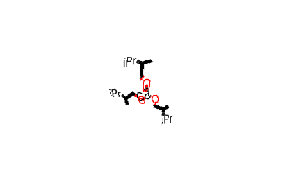 CC(C)C(C)C[O][Gd]([O]CC(C)C(C)C)[O]CC(C)C(C)C